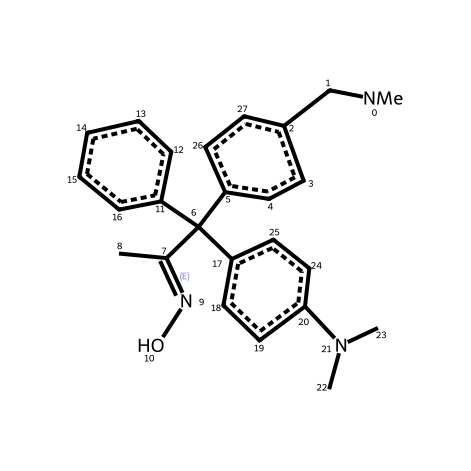 CNCc1ccc(C(/C(C)=N/O)(c2ccccc2)c2ccc(N(C)C)cc2)cc1